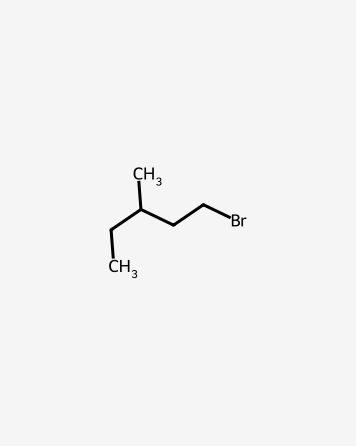 CCC(C)CCBr